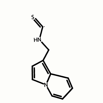 S=[C]NCc1ccn2ccccc12